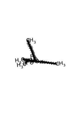 CCCCCCCCC=CCCCCCCCCOCC(CNC(=O)OCCN(CCCC)CCCC)OCCCCCCCCC=CCCCCCCCC